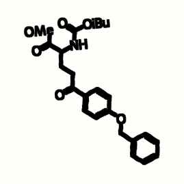 COC(=O)C(CCC(=O)c1ccc(OCc2ccccc2)cc1)NC(=O)OCC(C)C